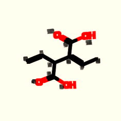 C=CC(C(=O)O)C(=CC)C(=O)O